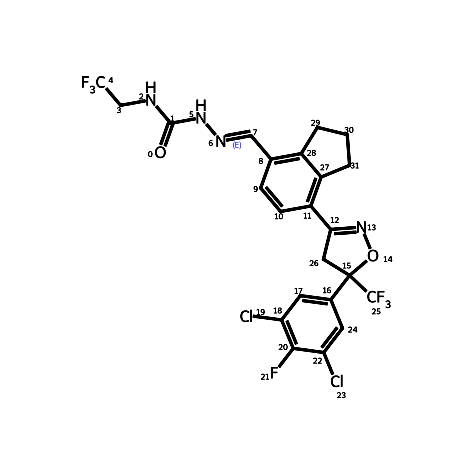 O=C(NCC(F)(F)F)N/N=C/c1ccc(C2=NOC(c3cc(Cl)c(F)c(Cl)c3)(C(F)(F)F)C2)c2c1CCC2